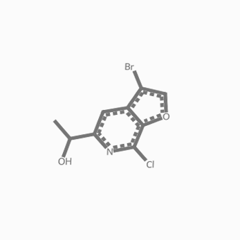 CC(O)c1cc2c(Br)coc2c(Cl)n1